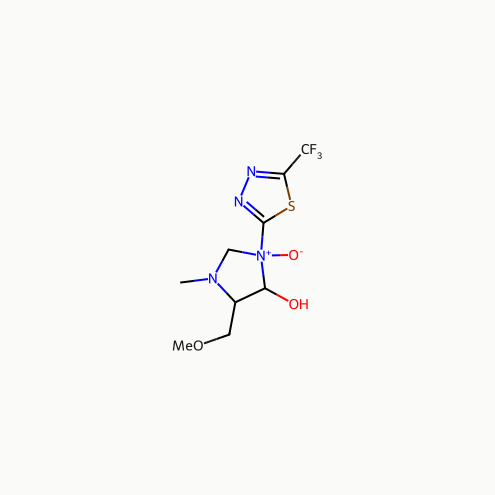 COCC1C(O)[N+]([O-])(c2nnc(C(F)(F)F)s2)CN1C